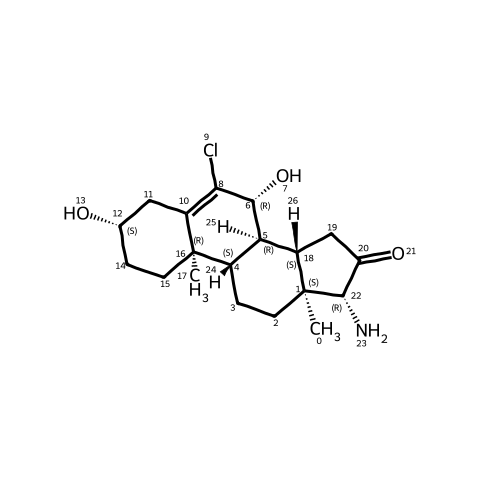 C[C@]12CC[C@H]3[C@@H]([C@@H](O)C(Cl)=C4C[C@@H](O)CC[C@@]43C)[C@@H]1CC(=O)[C@@H]2N